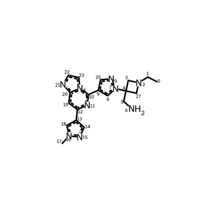 CCN1CC(CN)(n2cc(-c3nc(-c4cnn(C)c4)cc4nccn34)cn2)C1